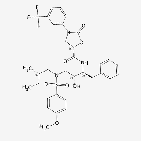 CC[C@H](C)CN(C[C@@H](O)[C@H](Cc1ccccc1)NC(=O)[C@@H]1CN(c2cccc(C(F)(F)F)c2)C(=O)O1)S(=O)(=O)c1ccc(OC)cc1